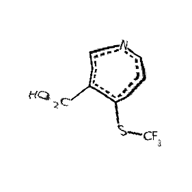 O=C(O)c1cnccc1SC(F)(F)F